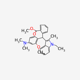 CCn1c(C)c(C(c2ccc(N(C)C)cc2OC)c2ccccc2C(=O)OC)c2ccccc21